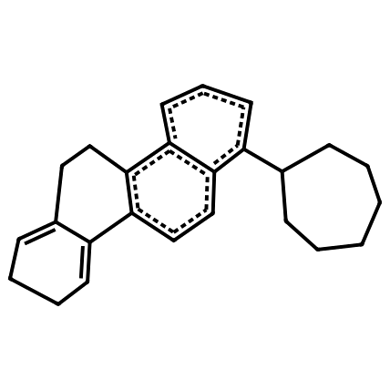 C1=C2CCc3c(ccc4c(C5CCCCCC5)cccc34)C2=CCC1